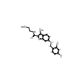 COCCNC(=O)c1sc2cc(OCc3ccc(Cl)cc3Cl)ccc2c1OC(C)=O